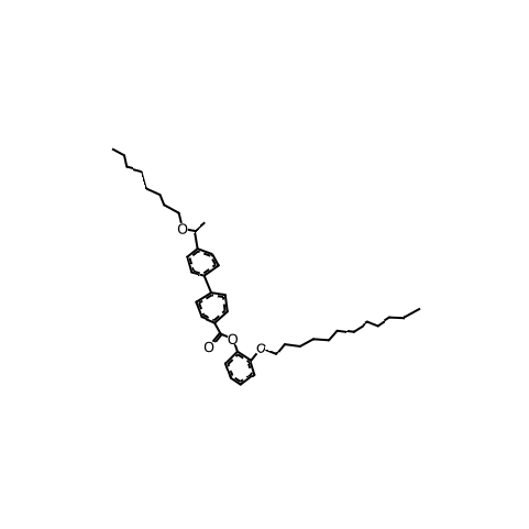 CCCCCCCCCCCCOc1ccccc1OC(=O)c1ccc(-c2ccc(C(C)OCCCCCCCC)cc2)cc1